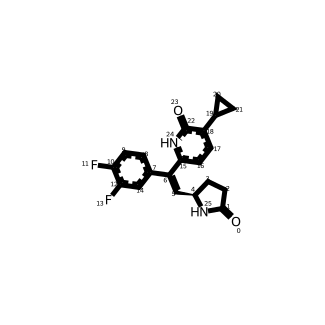 O=C1CC[C@H](C=C(c2ccc(F)c(F)c2)c2ccc(C3CC3)c(=O)[nH]2)N1